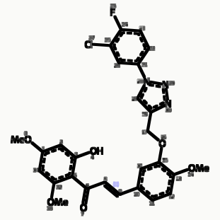 COc1cc(O)c(C(=O)/C=C/c2ccc(OC)c(OCc3cn(-c4ccc(F)c(Cl)c4)nn3)c2)c(OC)c1